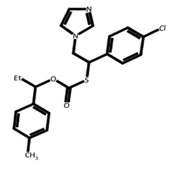 CCC(OC(=O)SC(Cn1ccnc1)c1ccc(Cl)cc1)c1ccc(C)cc1